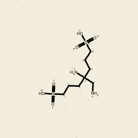 NCC(N)(CCCS(=O)(=O)O)CCCS(=O)(=O)O